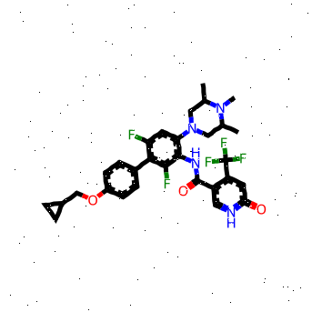 CC1CN(c2cc(F)c(-c3ccc(OCC4CC4)cc3)c(F)c2NC(=O)c2c[nH]c(=O)cc2C(F)(F)F)CC(C)N1C